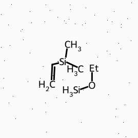 C=C[Si](C)C.CCO[SiH3]